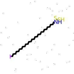 S=C(S)NCCCCCCCCCCCCCCCCCCCCCCCCCCCCI